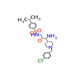 CC(C)c1ccc(S(=O)(=O)NCC(=O)C(N)C2CCN(Cc3ccc(Cl)cc3)CC2)cc1